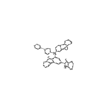 c1ccc(-c2ccc(N(c3ccc4c(c3)oc3ccccc34)c3cc(-c4nc5ccccc5s4)cc4c3sc3ccccc34)cc2)cc1